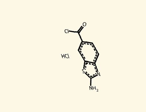 Cl.Nc1nc2ccc(C(=O)Cl)cc2s1